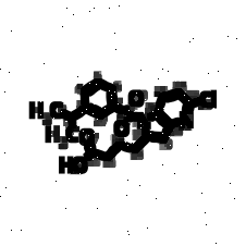 CC(C)c1cccc(S(=O)(=O)n2c(CCCC(=O)O)cc3nc(Cl)ccc32)c1